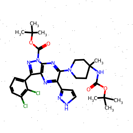 CC1(NC(=O)OC(C)(C)C)CCN(c2nc3c(nc2-c2cc[nH]n2)c(-c2cccc(Cl)c2Cl)nn3C(=O)OC(C)(C)C)CC1